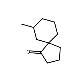 CC1CCCC2(CCCC2=O)C1